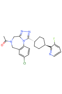 CC(=O)N1Cc2cc(Cl)ccc2-n2c(nnc2[C@H]2CC[C@H](c3ncccc3F)CC2)C1